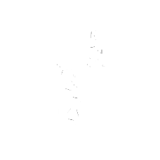 CCNC(=O)O[C@H](CC(C(C)C)N(C)C(=O)[C@@H](NC(=O)C12CCC(CC1)N2C)[C@@H](C)CC)c1nc(C(=O)Oc2c(F)c(F)c(F)c(F)c2F)cs1